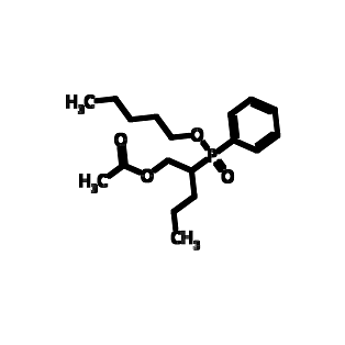 CCCCCOP(=O)(c1ccccc1)C(CCC)COC(C)=O